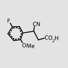 COc1ccc(F)cc1C(C#N)CC(=O)O